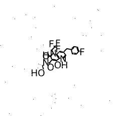 C[C@@H](CO)NC(=O)c1c(O)c2ncc(Cc3ccc(F)cc3)cc2n(CC(F)(F)F)c1=O